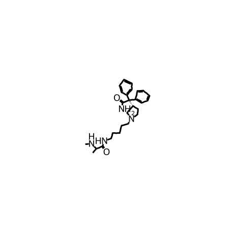 CNC(C)C(=O)NCCCCCN1CC[C@@H](C(C(N)=O)(c2ccccc2)c2ccccc2)C1